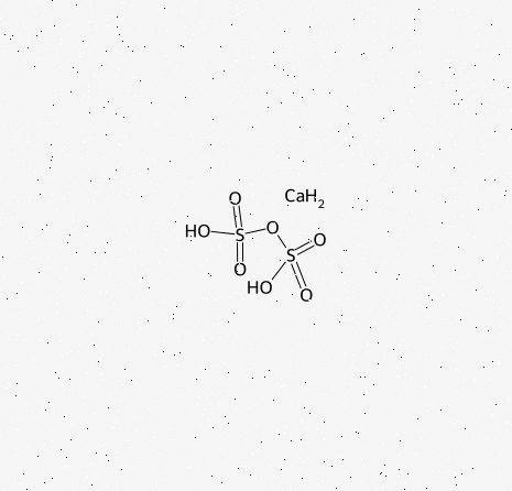 O=S(=O)(O)OS(=O)(=O)O.[CaH2]